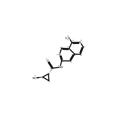 N#C[C@@H]1C[C@H]1C(=O)Nc1cc2ccnc(N)c2cn1